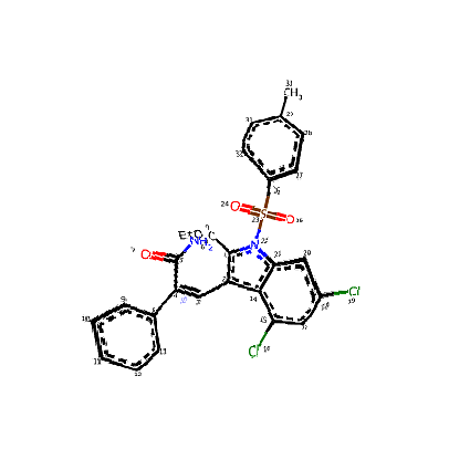 CCOC(=O)c1c(/C=C(\C(N)=O)c2ccccc2)c2c(Cl)cc(Cl)cc2n1S(=O)(=O)c1ccc(C)cc1